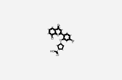 O=C(O)[C@H]1CC[C@@H](Oc2cc(Br)ccc2-c2cc(=O)c3cccc(Cl)c3o2)C1